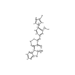 COc1cc(/C=C2\CCCN([C@@H]3c4ccccc4C[C@@H]3O)C2=O)ccc1-n1cnc(C)c1